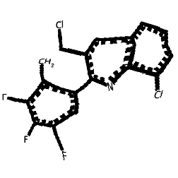 Cc1c(-c2nc3c(Cl)cccc3cc2CCl)cc(F)c(F)c1F